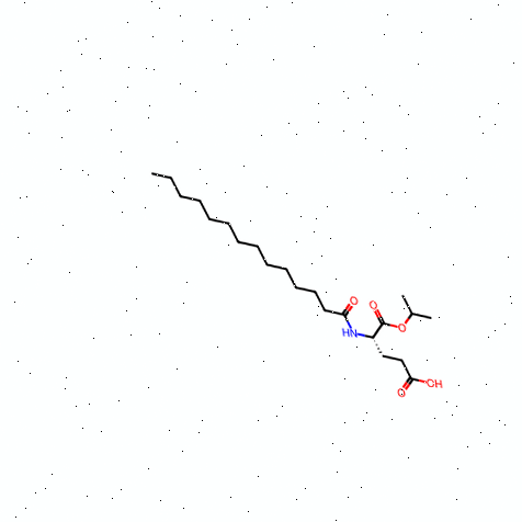 CCCCCCCCCCCCCC(=O)N[C@@H](CCC(=O)O)C(=O)OC(C)C